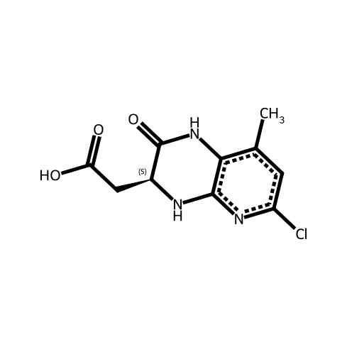 Cc1cc(Cl)nc2c1NC(=O)[C@H](CC(=O)O)N2